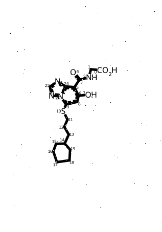 O=C(O)CNC(=O)c1c(O)cc(SCCCC2CCCCC2)n2ncnc12